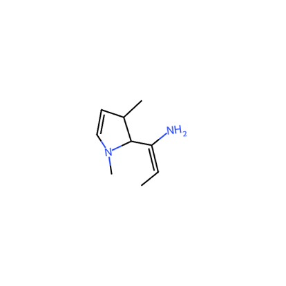 C/C=C(/N)C1C(C)C=CN1C